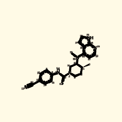 C[C@@H]1CCN(C(=S)Nc2ccc(C#N)cc2)CC1N(C)c1ccnc2[nH]ccc12